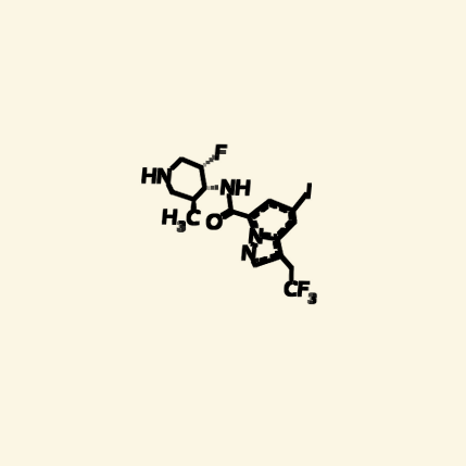 C[C@H]1CNC[C@H](F)[C@@H]1NC(=O)c1cc(I)cc2c(CC(F)(F)F)cnn12